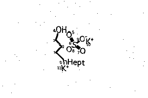 CCCCCCCCCCO.O=S(=O)([O-])[O-].[K+].[K+]